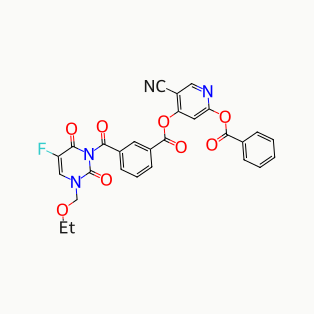 CCOCn1cc(F)c(=O)n(C(=O)c2cccc(C(=O)Oc3cc(OC(=O)c4ccccc4)ncc3C#N)c2)c1=O